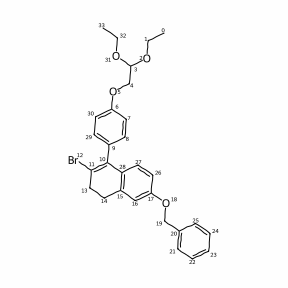 CCOC(COc1ccc(C2=C(Br)CCc3cc(OCc4ccccc4)ccc32)cc1)OCC